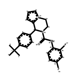 CC(C)(C)c1ccc(C2c3cccn3CCN2C(=O)Nc2ccc(F)cc2F)cc1